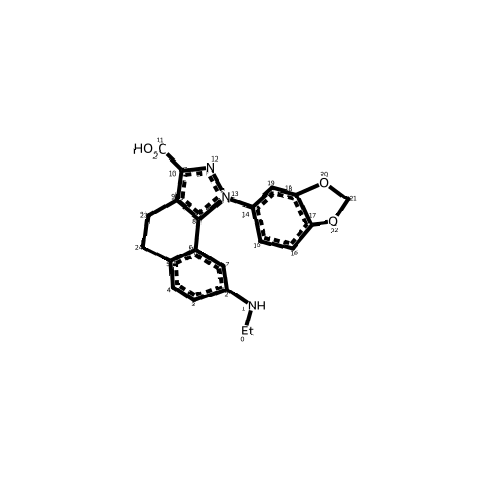 CCNc1ccc2c(c1)-c1c(c(C(=O)O)nn1-c1ccc3c(c1)OCO3)CC2